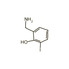 NCc1cccc(I)c1O